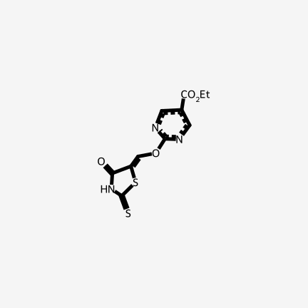 CCOC(=O)c1cnc(OC=C2SC(=S)NC2=O)nc1